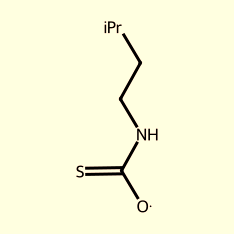 CC(C)CCNC([O])=S